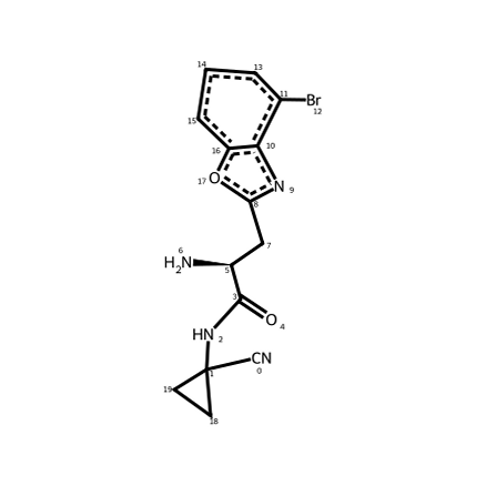 N#CC1(NC(=O)[C@@H](N)Cc2nc3c(Br)cccc3o2)CC1